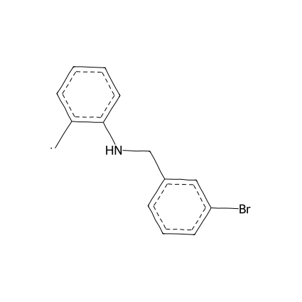 [CH2]c1ccccc1NCc1cccc(Br)c1